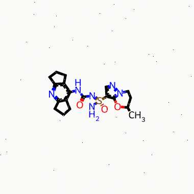 CC1CCn2ncc(S(N)(=O)=NC(=O)Nc3c4c(nc5c3CCC5)CCC4)c2O1